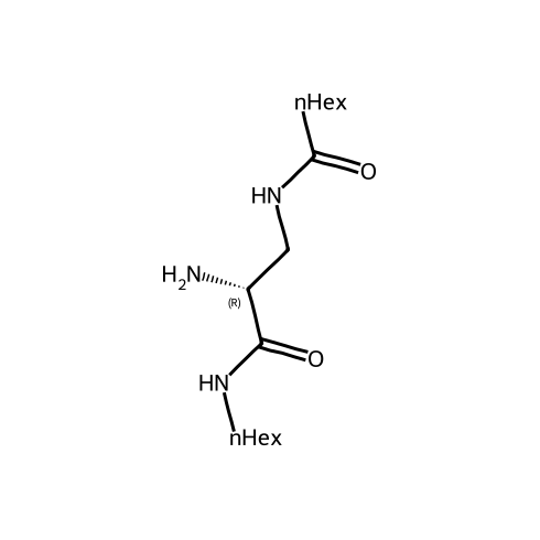 CCCCCCNC(=O)[C@H](N)CNC(=O)CCCCCC